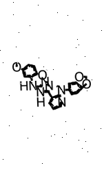 COc1ccc(OC)c(Nc2nnc(-c3cccnc3N(C)c3ccc4c(c3)OCO4)[nH]2)c1